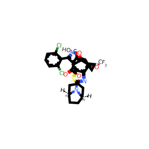 O=C(O)c1cc(OC(F)(F)F)c2nc(N3[C@@H]4CC[C@H]3C[C@H](OC(=O)c3c(-c5c(Cl)cccc5Cl)noc3C3CC3)C4)sc2c1